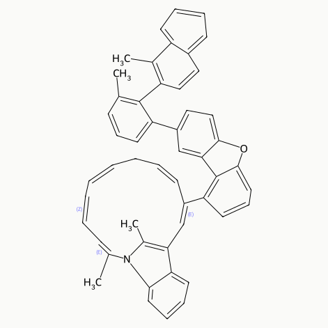 C/C1=C\C=C/C=CCC=C/C(c2cccc3oc4ccc(-c5cccc(C)c5-c5ccc6ccccc6c5C)cc4c23)=C\c2c(C)n1c1ccccc21